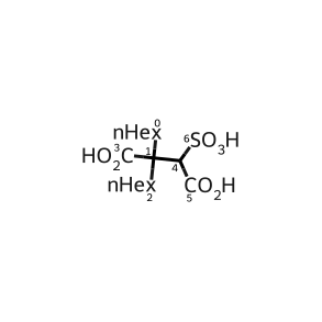 CCCCCCC(CCCCCC)(C(=O)O)C(C(=O)O)S(=O)(=O)O